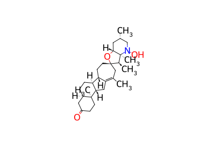 CC1=C2C[C@H]3[C@@H](CC[C@@H]4CC(=O)CC[C@@]43C)[C@@H]2CC[C@@]2(C1)O[C@@H]1C[C@H](C)CN(O)[C@@]1(C)[C@H]2C